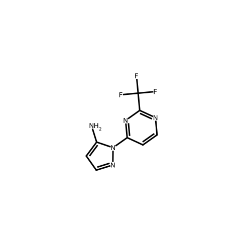 Nc1ccnn1-c1ccnc(C(F)(F)F)n1